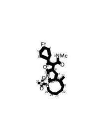 CNC(=O)c1c(-c2ccc(F)cc2)oc2nc3c(cc12)C(C)=CCCCCN3S(C)(=O)=O